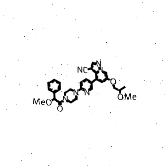 COC(C)COc1cc(-c2ccc(N3CCN(C(=O)C(OC)c4ccccc4)CC3)nc2)c2c(C#N)cnn2c1